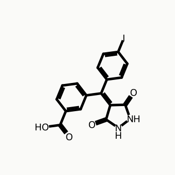 O=C1NNC(=O)C1=C(c1ccc(I)cc1)c1cccc(C(=O)O)c1